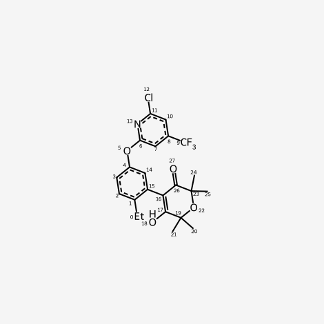 CCc1ccc(Oc2cc(C(F)(F)F)cc(Cl)n2)cc1C1=C(O)C(C)(C)OC(C)(C)C1=O